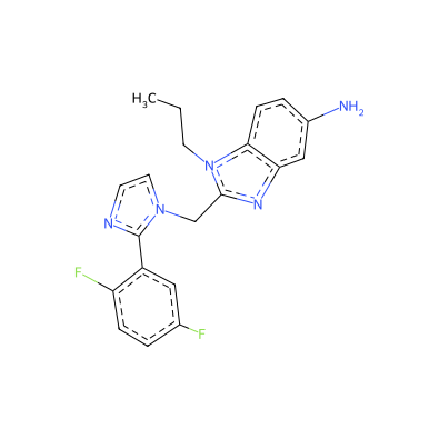 CCCn1c(Cn2ccnc2-c2cc(F)ccc2F)nc2cc(N)ccc21